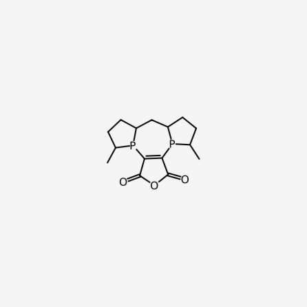 CC1CCC2CC3CCC(C)P3C3=C(C(=O)OC3=O)P12